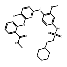 CNC(=O)c1ccccc1Nc1nc(Nc2ccc(NS(=O)(=O)CCN3CCSCC3)cc2OC)ncc1Cl